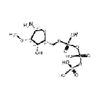 CO[C@H]1[C@@H](O)[C@@H](COP(=O)(O)OP(=O)(O)OP(=O)(O)O)O[C@H]1N